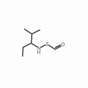 CCC(NS[C]=O)C(C)C